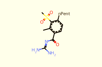 CCCCCc1ccc(C(=O)N=C(N)N)c(C)c1S(C)(=O)=O